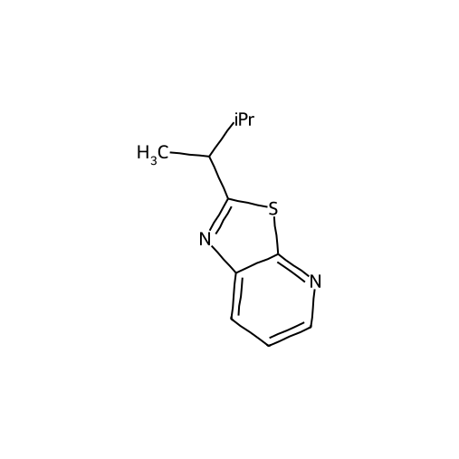 CC(C)C(C)c1nc2cccnc2s1